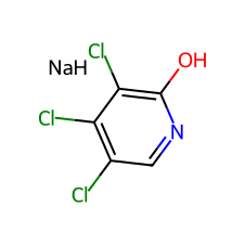 Oc1ncc(Cl)c(Cl)c1Cl.[NaH]